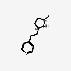 C[C@@H]1CC[C@H](CCc2ccncc2)N1